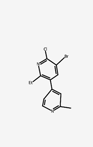 CCc1nc(Cl)c(Br)cc1-c1ccnc(C)c1